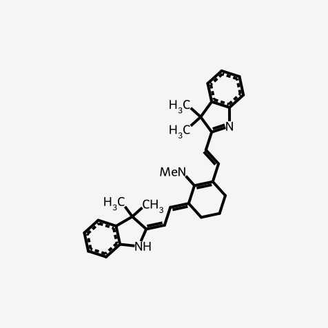 CNC1=C(/C=C/C2=Nc3ccccc3C2(C)C)CCC/C1=C\C=C1\Nc2ccccc2C1(C)C